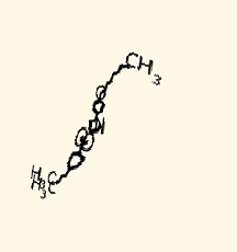 CCCCCCCCOc1ccc(-c2ccc(OC(=O)C3CCC(CCCC(C)C)CC3)cn2)cc1